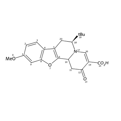 COc1ccc2c3c(oc2c1)C1CC(=O)C(C(=O)O)=CN1[C@H](C(C)(C)C)C3